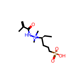 C=C(C)C(=O)N[N+](C)(C)[C@@H](CC)CCCS(=O)(=O)O